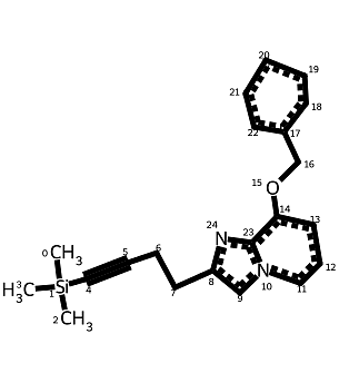 C[Si](C)(C)C#CCCc1cn2cccc(OCc3ccccc3)c2n1